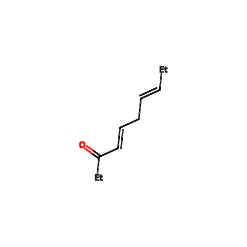 CCC=CCC=CC(=O)CC